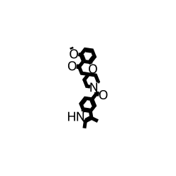 COc1cccc2c1C(=O)CC1(CCN(C(=O)c3ccc4[nH]c(C)c(C)c4c3)CC1)O2